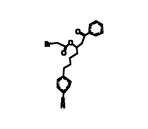 N#Cc1ccc(CCCCC(CC(=O)c2ccccc2)OC(=O)CBr)cc1